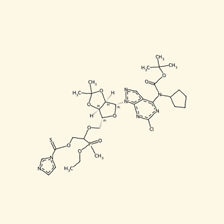 CCOP(C)(=O)C(COC(=S)n1ccnc1)OC[C@H]1O[C@@H](n2ncc3c(N(C(=O)OC(C)(C)C)C4CCCC4)nc(Cl)nc32)[C@@H]2OC(C)(C)O[C@@H]21